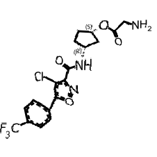 NCC(=O)O[C@H]1CC[C@@H](NC(=O)c2noc(-c3ccc(C(F)(F)F)cc3)c2Cl)C1